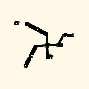 CCCCCN[N+](C=C=O)(C=C=O)CCC.[Cl-]